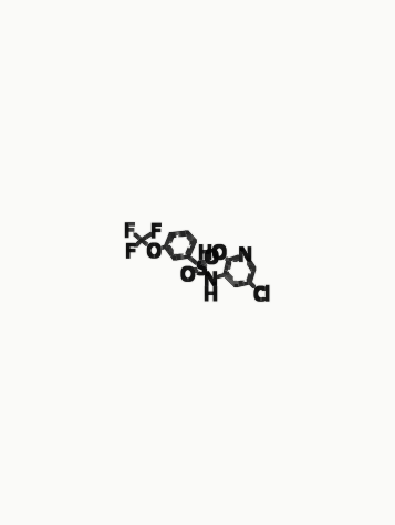 O=S(=O)(Nc1cc(Cl)cnc1O)c1cccc(OC(F)(F)F)c1